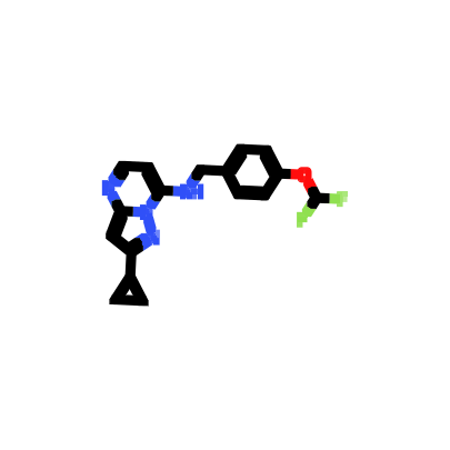 FC(F)Oc1ccc(CNc2ccnc3cc(C4CC4)nn23)cc1